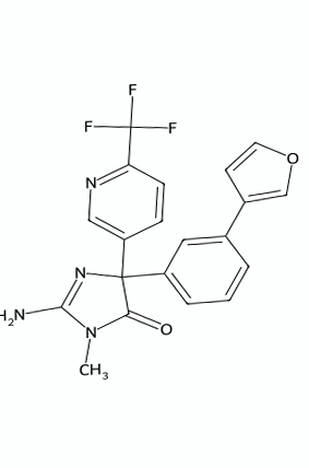 CN1C(=O)C(c2ccc(C(F)(F)F)nc2)(c2cccc(-c3ccoc3)c2)N=C1N